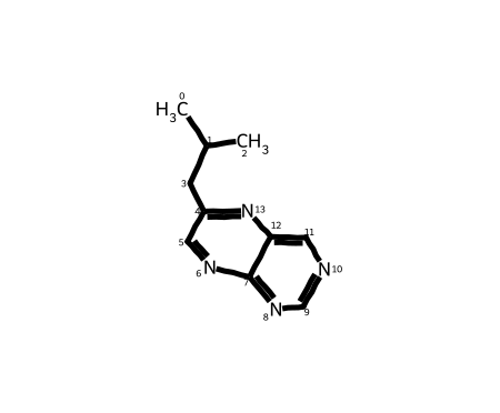 CC(C)Cc1cnc2ncncc2n1